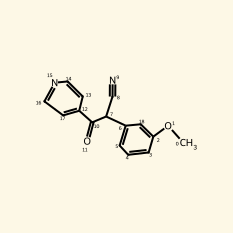 COc1cccc(C(C#N)C(=O)c2ccncc2)c1